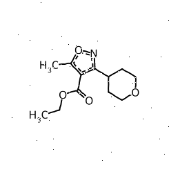 CCOC(=O)c1c(C2CCOCC2)noc1C